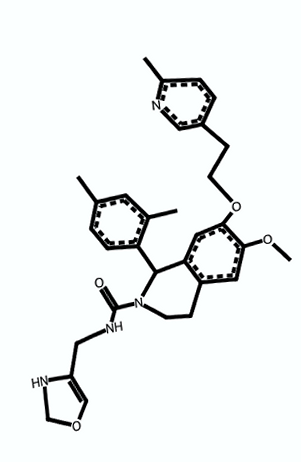 COc1cc2c(cc1OCCc1ccc(C)nc1)C(c1ccc(C)cc1C)N(C(=O)NCC1=COCN1)CC2